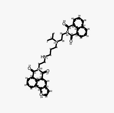 CC(C)N(CCCNCCN1C(=O)c2cccc3c2c(cc2ccoc23)C1=O)CCN1C(=O)c2cccc3cccc(c23)C1=O